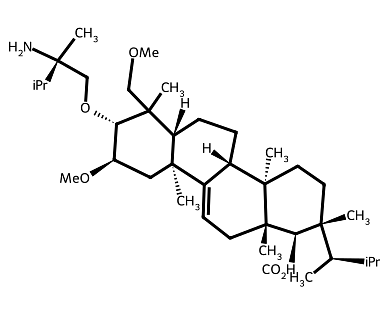 COCC1(C)[C@@H](OC[C@@](C)(N)C(C)C)[C@H](OC)C[C@]2(C)C3=CC[C@@]4(C)[C@H](C(=O)O)[C@@](C)([C@H](C)C(C)C)CC[C@]4(C)[C@H]3CC[C@@H]12